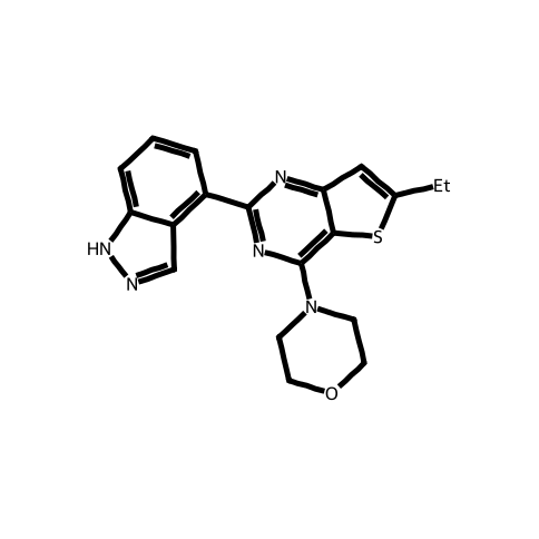 CCc1cc2nc(-c3cccc4[nH]ncc34)nc(N3CCOCC3)c2s1